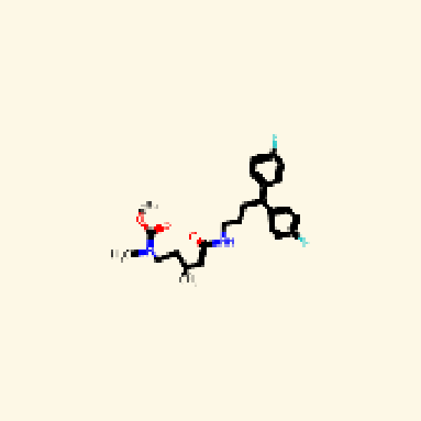 C[C@@H](CCN(C)C(=O)OC(C)(C)C)CC(=O)NCCCC(c1ccc(F)cc1)c1ccc(F)cc1